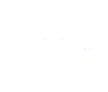 Br.COc1c(-c2cc3c(s2)CCNC3C)ccc2c(=O)c(C(=O)O)cn(C3CC3)c12